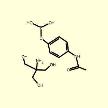 CC(=O)Nc1ccc(OP(O)O)cc1.NC(CO)(CO)CO